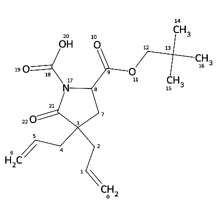 C=CCC1(CC=C)CC(C(=O)OCC(C)(C)C)N(C(=O)O)C1=O